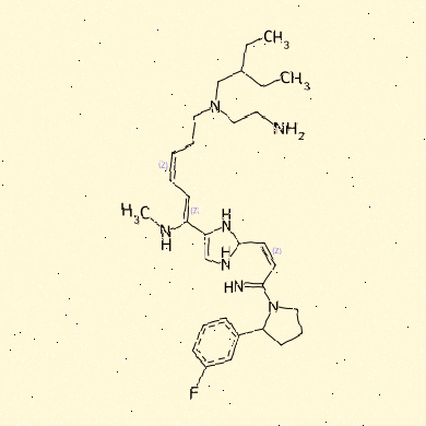 CCC(CC)CN(CCN)CC/C=C\C=C(/NC)C1=CNC(/C=C\C(=N)N2CCCC2c2cccc(F)c2)N1